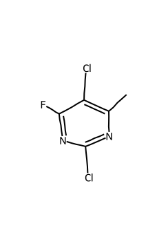 Cc1nc(Cl)nc(F)c1Cl